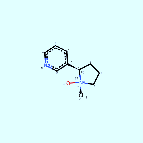 C[N@+]1([O-])CCC[C@@H]1c1cccnc1